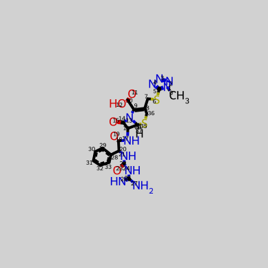 Cn1nnnc1SCC1=C(C(=O)O)N2C(=O)C(NC(=O)C(NC(=O)NC(=N)N)c3ccccc3)[C@@H]2SC1